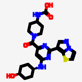 O=C(O)NC1CCN(C(=O)c2cc(N[C@H]3CC[C@H](O)CC3)nc(-c3cnn4ccsc34)n2)CC1